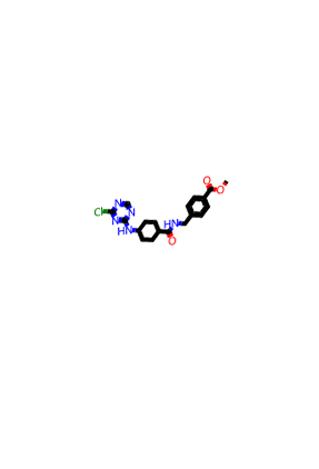 COC(=O)c1ccc(CNC(=O)C2CCC(Nc3ncnc(Cl)n3)CC2)cc1